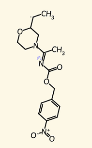 C[CH]C1CN(/C(C)=N/C(=O)OCc2ccc([N+](=O)[O-])cc2)CCO1